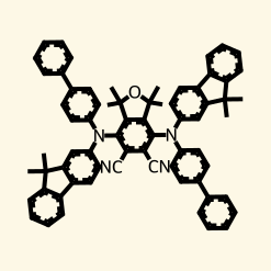 CC1(C)OC(C)(C)c2c(N(c3ccc(-c4ccccc4)cc3)c3ccc4c(c3)C(C)(C)c3ccccc3-4)c(C#N)c(C#N)c(N(c3ccc(-c4ccccc4)cc3)c3ccc4c(c3)C(C)(C)c3ccccc3-4)c21